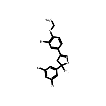 O=C(O)CSc1ccc(C2=NOC(c3cc(Cl)cc(Cl)c3)(C(F)(F)F)C2)cc1Br